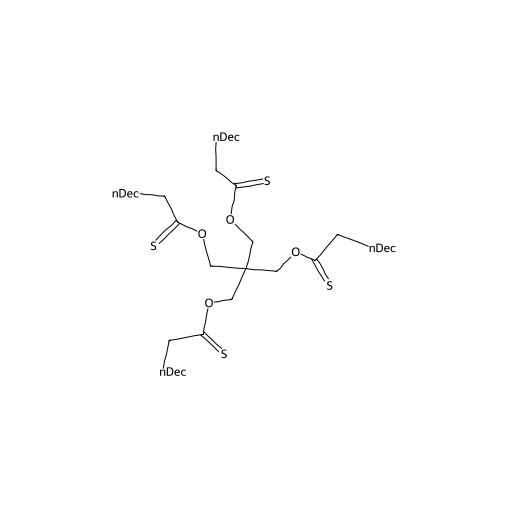 CCCCCCCCCCCC(=S)OCC(COC(=S)CCCCCCCCCCC)(COC(=S)CCCCCCCCCCC)COC(=S)CCCCCCCCCCC